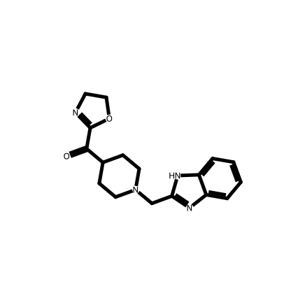 O=C(C1=NCCO1)C1CCN(Cc2nc3ccccc3[nH]2)CC1